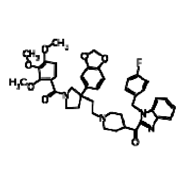 COc1ccc(C(=O)N2CCC(CCN3CCC(C(=O)c4nc5ccccc5n4Cc4ccc(F)cc4)CC3)(c3ccc4c(c3)OCO4)C2)c(OC)c1OC